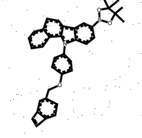 CC1(C)OB(c2ccc3c(c2)c2ccc4ccccc4c2n3-c2ccc(OCc3ccc4c(c3)C=C4)cc2)OC1(C)C